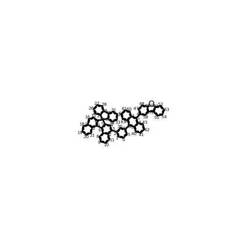 c1cc(-c2cc3c(c4ccccc24)-c2c(ccc4ccccc24)C32c3ccccc3-c3ccccc32)cc(-c2c3ccccc3c(-c3ccc4oc5ccccc5c4c3)c3ccccc23)c1